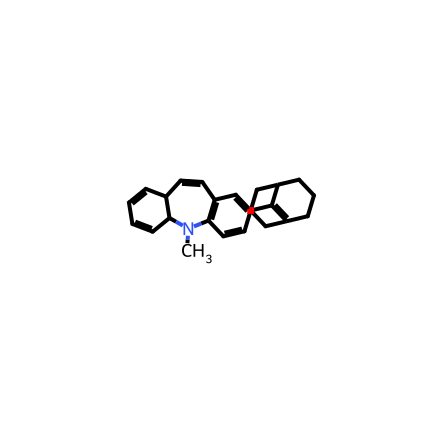 CN1c2ccc(C3=C4CCCC3CCC4)cc2C=CC2C=CC=CC21